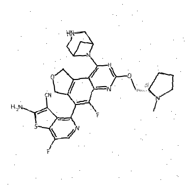 CN1CCC[C@H]1COc1nc(N2C3CNCC2C3)c2c3c(c(-c4ncc(F)c5sc(N)c(C#N)c45)c(F)c2n1)COC3